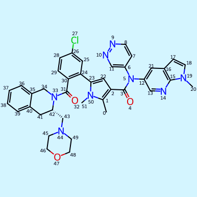 Cc1c(C(=O)N(c2ccnnc2)c2cnc3c(ccn3C)c2)cc(-c2cc(Cl)ccc2C(=O)N2Cc3ccccc3C[C@H]2CN2CCOCC2)n1C